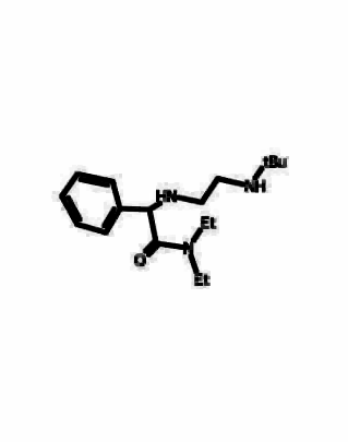 CCN(CC)C(=O)C(NCCNC(C)(C)C)c1ccccc1